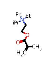 C=C(C)C(=O)OCC[N+](CC)(C(C)C)C(C)C